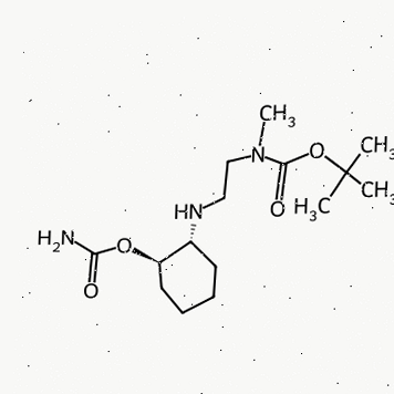 CN(CCN[C@@H]1CCCC[C@H]1OC(N)=O)C(=O)OC(C)(C)C